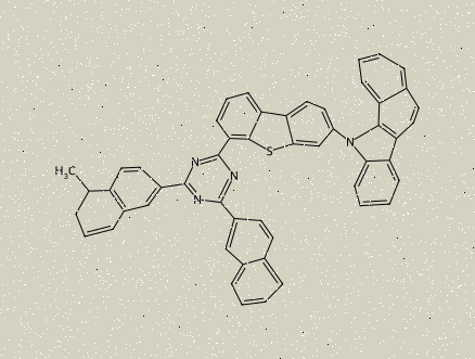 CC1CC=Cc2cc(-c3nc(-c4ccc5ccccc5c4)nc(-c4cccc5c4sc4cc(-n6c7ccccc7c7ccc8ccccc8c76)ccc45)n3)ccc21